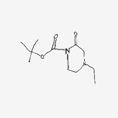 CCN1CCN(C(=O)OC(C)(C)C)C(=O)C1